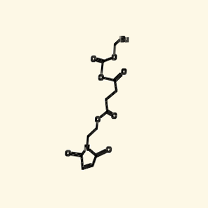 CCC(C)COC(=O)OC(=O)CCC(=O)OCCN1C(=O)C=CC1=O